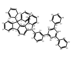 C1=CCC(C2(c3ccncc3)c3ccccc3-c3ccc4c(c32)c2ccccc2n4-c2cccc(-c3nc(-c4ccccc4)nc(-c4ccccc4)n3)c2)C=C1